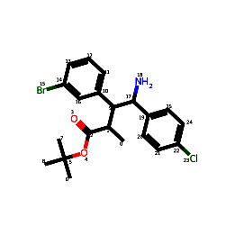 CC(C(=O)OC(C)(C)C)C(c1cccc(Br)c1)C(N)c1ccc(Cl)cc1